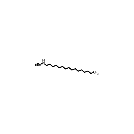 [CH2]CCCNCCCCCCCCCCCCCCCC(F)(F)F